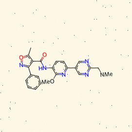 CNCc1ncc(-c2ccc(NC(=O)c3c(-c4ccccc4)noc3C)c(OC)n2)cn1